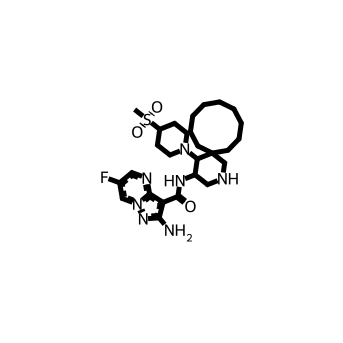 CS(=O)(=O)C1CCN(C2C(NC(=O)c3c(N)nn4cc(F)cnc34)CNCC23CCCCCCCCC3)CC1